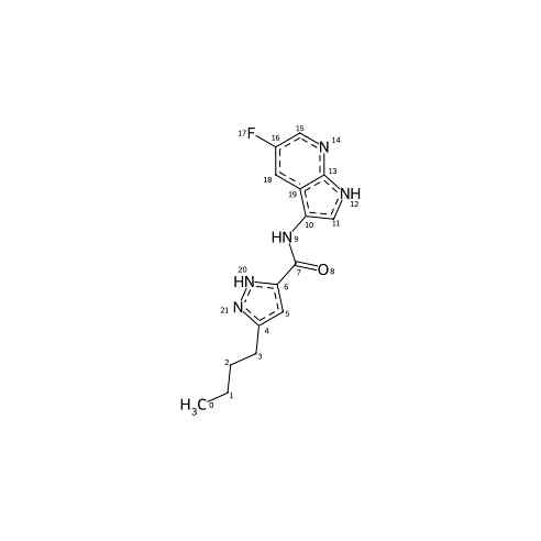 CCCCc1cc(C(=O)Nc2c[nH]c3ncc(F)cc23)[nH]n1